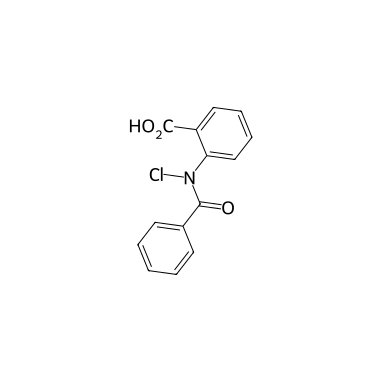 O=C(O)c1ccccc1N(Cl)C(=O)c1ccccc1